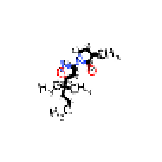 CCCC(C)(C)c1cc(N2CCC(C)C2=O)no1